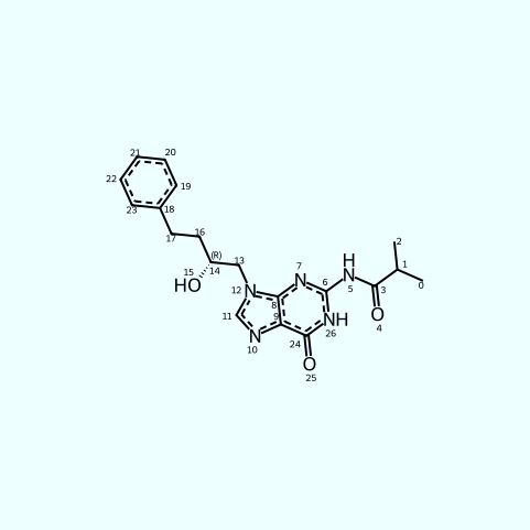 CC(C)C(=O)Nc1nc2c(ncn2C[C@H](O)CCc2ccccc2)c(=O)[nH]1